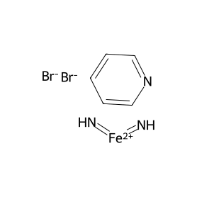 [Br-].[Br-].[NH]=[Fe+2]=[NH].c1ccncc1